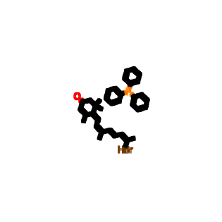 Br.CC(C)=CC=CC(C)=CC=C1C(C)=CC(=O)CC1(C)C.c1ccc(P(c2ccccc2)c2ccccc2)cc1